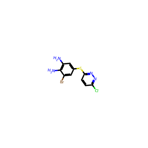 Nc1cc(Sc2ccc(Cl)nn2)cc(Br)c1N